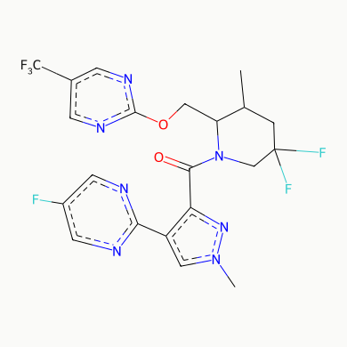 CC1CC(F)(F)CN(C(=O)c2nn(C)cc2-c2ncc(F)cn2)C1COc1ncc(C(F)(F)F)cn1